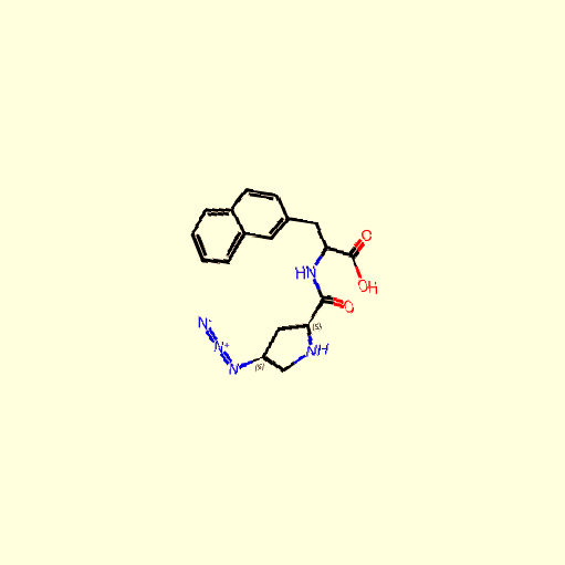 [N-]=[N+]=N[C@@H]1CN[C@H](C(=O)NC(Cc2ccc3ccccc3c2)C(=O)O)C1